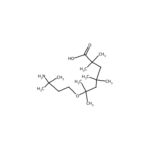 CC(C)(N)CCOC(C)(C)CC(C)(C)CC(C)(C)C(=O)O